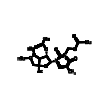 CCCCOC[C@@]1(C(C)=O)O[C@@H](n2cc(C)c(=O)n(COC(=O)C(C)(C)C)c2=O)[C@@H](OC(=O)C(C)(C)C)C1OCCCC